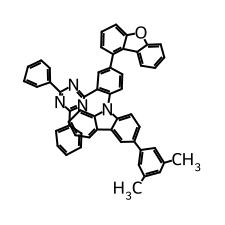 Cc1cc(C)cc(-c2ccc3c(c2)c2ccccc2n3-c2ccc(-c3cccc4oc5ccccc5c34)cc2-c2nc(-c3ccccc3)nc(-c3ccccc3)n2)c1